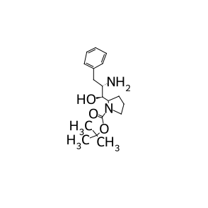 CC(C)(C)OC(=O)N1CCCC1[C@@H](O)[C@@H](N)Cc1ccccc1